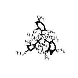 Cc1cc(C)c([C](C)(C)[Cr]([C](C)(C)c2c(C)cc(C)cc2C)[C](C)(C)c2c(C)cc(C)cc2C)c(C)c1